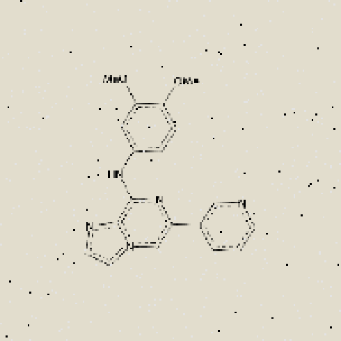 COc1ccc(Nc2nc(-c3cccnc3)cn3ccnc23)cc1OC